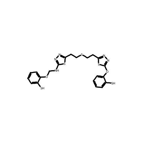 Sc1ccccc1OCNc1nnc(CCSCCc2nnc(Oc3ccccc3S)s2)s1